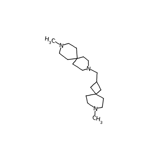 CN1CCC2(CC1)CCN(CC1CC3(CCN(C)CC3)C1)CC2